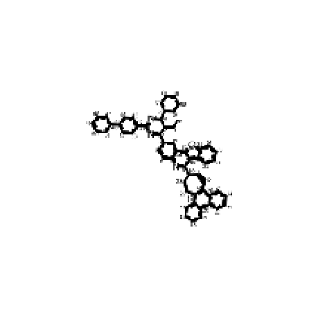 CCC1C(c2ccc3nc(C4C#Cc5c(c6ccccc6c6ccccc56)C=C4)c4c5ccccc5oc4c3c2)=NC(c2ccc(-c3ccccc3)cc2)=NC1c1ccccc1